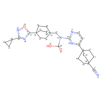 N#CC12CCC(c3ccnc(N(CC45CCC(c6nc(C7CC7)no6)(CC4)CC5)C(=O)O)n3)(CC1)CC2